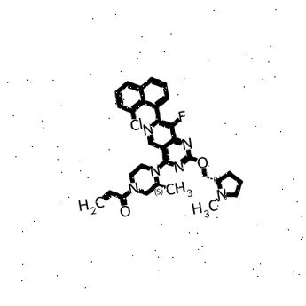 C=CC(=O)N1CCN(c2nc(OC[C@@H]3CCCN3C)nc3c(F)c(-c4cccc5cccc(Cl)c45)ncc23)[C@@H](C)C1